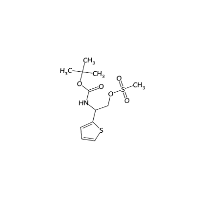 CC(C)(C)OC(=O)NC(COS(C)(=O)=O)c1cccs1